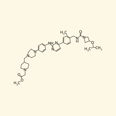 COC(=O)CN1CCC(CN2CCN(c3ccc(Nc4nccc(-c5ccc(CNC(=O)N6CC(OC(C)C)C6)c(C)c5)n4)cc3)CC2)CC1